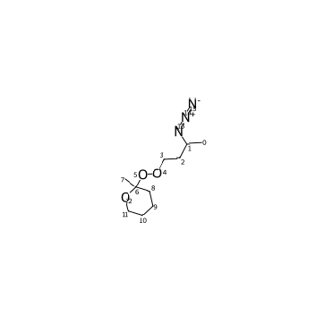 CC(CCOOC1(C)CCCCO1)N=[N+]=[N-]